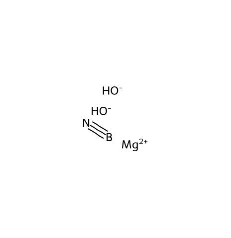 B#N.[Mg+2].[OH-].[OH-]